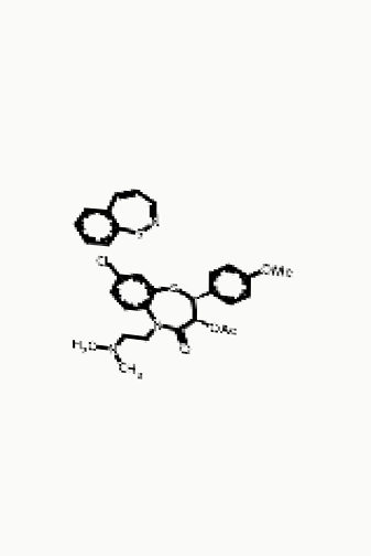 C1=Cc2ccccc2SN=C1.COc1ccc([C@@H]2Sc3cc(Cl)ccc3N(CCN(C)C)C(=O)[C@@H]2OC(C)=O)cc1